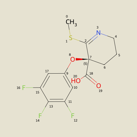 CSC1=NCCC[C@]1(Oc1cc(F)c(F)c(F)c1)C(=O)O